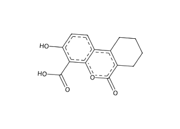 O=C(O)c1c(O)ccc2c3c(c(=O)oc12)CCCC3